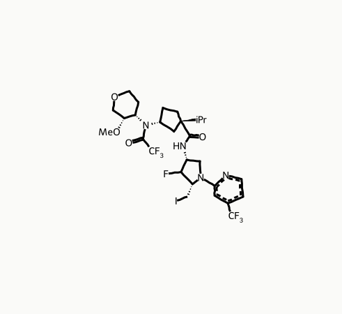 CO[C@@H]1COCC[C@@H]1N(C(=O)C(F)(F)F)[C@@H]1CC[C@@](C(=O)N[C@@H]2CN(c3cc(C(F)(F)F)ccn3)[C@H](CI)C2F)(C(C)C)C1